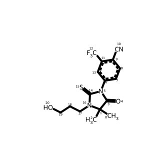 CC1(C)C(=O)N(c2ccc(C#N)c(C(F)(F)F)c2)C(=S)N1CCCO